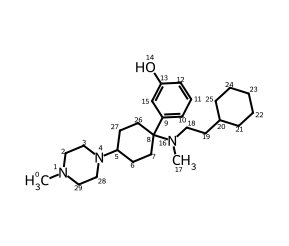 CN1CCN(C2CCC(c3cccc(O)c3)(N(C)CCC3CCCCC3)CC2)CC1